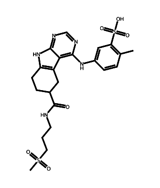 Cc1ccc(Nc2ncnc3[nH]c4c(c23)CC(C(=O)NCCCS(C)(=O)=O)CC4)cc1S(=O)(=O)O